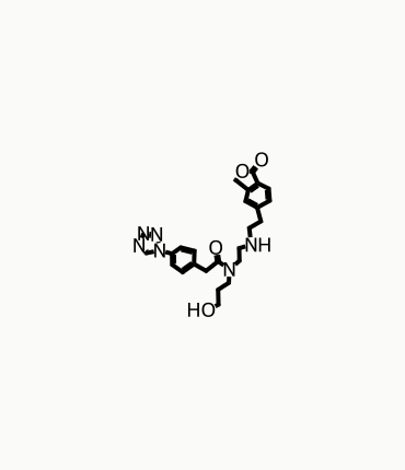 O=C1OCc2cc(CCNCCN(CCCO)C(=O)Cc3ccc(-n4cnnn4)cc3)ccc21